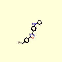 CC(C)Cc1ccc(-c2nc(-c3ccc(NC4CCCC4)cc3)no2)cc1